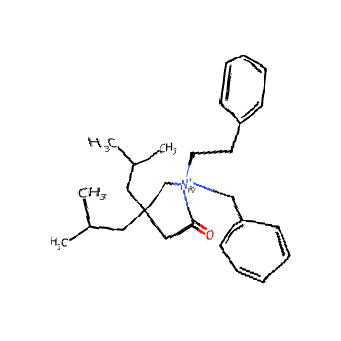 CC(C)CC1(CC(C)C)CC(=O)[N@@+](CCc2ccccc2)(Cc2ccccc2)C1